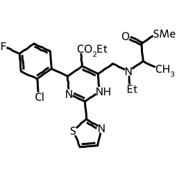 CCOC(=O)C1=C(CN(CC)C(C)C(=O)SC)NC(c2nccs2)=NC1c1ccc(F)cc1Cl